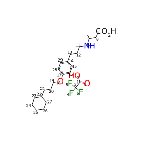 O=C(O)C(F)(F)F.O=C(O)CCNCCCc1ccc(OCCCC2CCCCC2)cc1